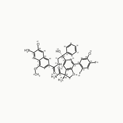 Bc1nc2c(OC)cc(C(=O)NC[C@@](O)(c3ccccc3)c3cc4c(c(-c5cc(Cl)c(F)cc5F)n3)OC[C@]4(C)C(N)=O)cc2cc1Cl